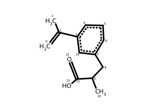 C=C(C)c1cccc(CC(C)C(=O)O)c1